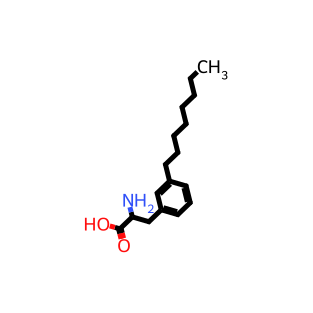 CCCCCCCCc1cccc(CC(N)C(=O)O)c1